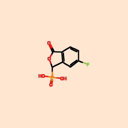 O=C1OC(P(=O)(O)O)c2cc(F)ccc21